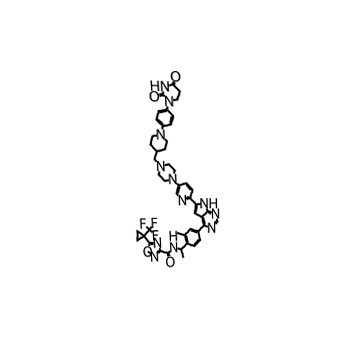 Cc1cc(-c2ncnc3[nH]c(-c4ccc(N5CCN(CC6CCN(c7ccc(N8CCC(=O)NC8=O)cc7)CC6)CC5)cn4)cc23)ccc1C(C)NC(=O)c1noc(C2(C(F)(F)F)CC2)n1